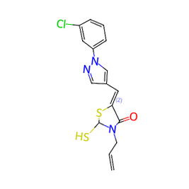 C=CCN1C(=O)/C(=C/c2cnn(-c3cccc(Cl)c3)c2)SC1S